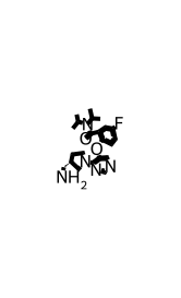 CC(C)N(C(=O)c1cc(F)ccc1Oc1cncnc1N1CC[C@@H](CN)C1)C(C)C